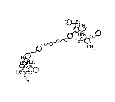 CCN(c1cc(-c2ccc(OCCOCCOCCOc3ccc(CCN4CC[C@@H]5CCN(C(=O)[C@@H](NC(=O)[C@H](C)N(C)C(=O)OC(C)(C)C)C6CCCCC6)C5C4)cc3)cc2)cc(C(=O)NCc2c(C)cc(C)nc2OCc2ccccc2)c1C)C1CCOCC1